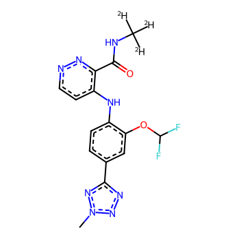 [2H]C([2H])([2H])NC(=O)c1nnccc1Nc1ccc(-c2nnn(C)n2)cc1OC(F)F